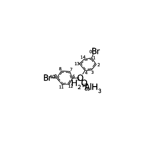 Brc1ccc(Oc2ccc(Br)cc2)cc1.O.[AlH3]